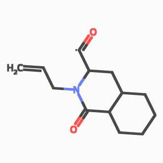 C=CCN1C(=O)C2CCCCC2CC1[C]=O